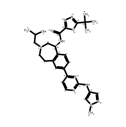 CC(O)CN1CCc2cc(-c3ccnc(Nc4cnn(C)c4)n3)ccc2[C@H](NC(=O)c2nnc(C(C)(C)C)o2)C1